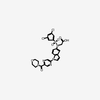 O=C(O)CN(c1ccc2c(ccn2-c2cnc(C(=O)N3CCOCC3)cn2)c1)S(=O)(=O)c1cc(Cl)cc(Cl)c1